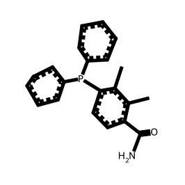 Cc1c(C(N)=O)ccc(P(c2ccccc2)c2ccccc2)c1C